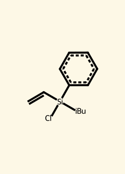 C=C[Si](Cl)(c1ccccc1)C(C)CC